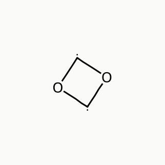 [CH]1O[CH]O1